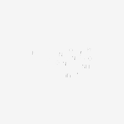 CC(C)C[C@H]1CN(C(=O)c2noc(-c3ccc(F)cc3)n2)[C@@H](CC(C)C)C(=O)N1